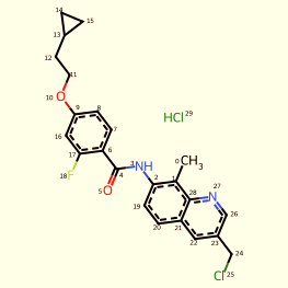 Cc1c(NC(=O)c2ccc(OCCC3CC3)cc2F)ccc2cc(CCl)cnc12.Cl